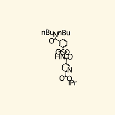 CCCCN(CCCC)C(=O)c1cccc(S(=O)(=O)NC(=O)c2ccc(C(=O)OC(C)C)nc2)c1